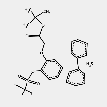 CC(C)(C)OC(=O)COc1ccccc1OS(=O)(=O)C(F)(F)F.S.c1ccc(-c2ccccc2)cc1